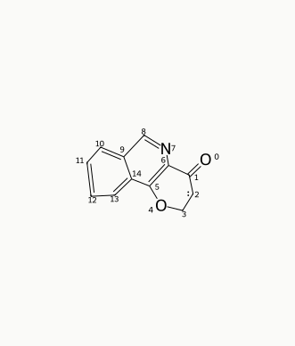 O=C1[C]COc2c1ncc1ccccc21